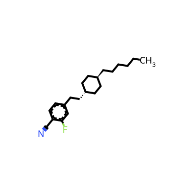 CCCCCC[C@H]1CC[C@H](CCc2ccc(C#N)c(F)c2)CC1